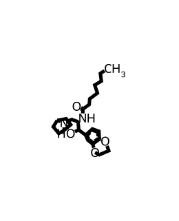 CCCCCCCC(=O)NC(CN1C2CCC1CC2)C(O)c1ccc2c(c1)OCCO2